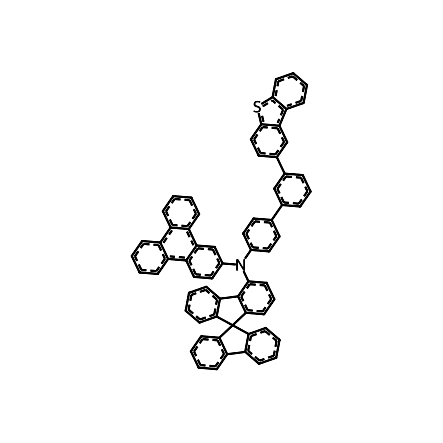 c1cc(-c2ccc(N(c3ccc4c5ccccc5c5ccccc5c4c3)c3cccc4c3-c3ccccc3C43c4ccccc4-c4ccccc43)cc2)cc(-c2ccc3sc4ccccc4c3c2)c1